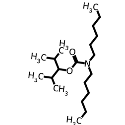 CCCCCCN(CCCCCC)C(=O)OC(C(C)C)C(C)C